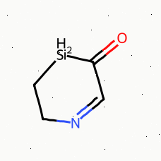 O=C1C=NCC[SiH2]1